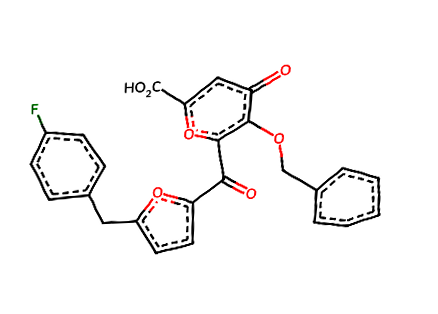 O=C(O)c1cc(=O)c(OCc2ccccc2)c(C(=O)c2ccc(Cc3ccc(F)cc3)o2)o1